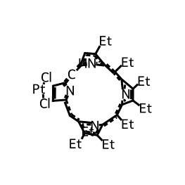 CCC1=C(CC)c2nc1c(CC)c1[nH]c(cc3nc(cc4c(CC)c(CC)c(c2CC)n4CC)C=C3)cc1CC.[Cl][Pt][Cl]